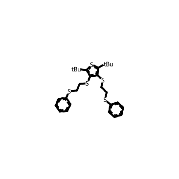 CC(C)(C)c1sc(C(C)(C)C)c(SCCSc2ccccc2)c1SCCSc1ccccc1